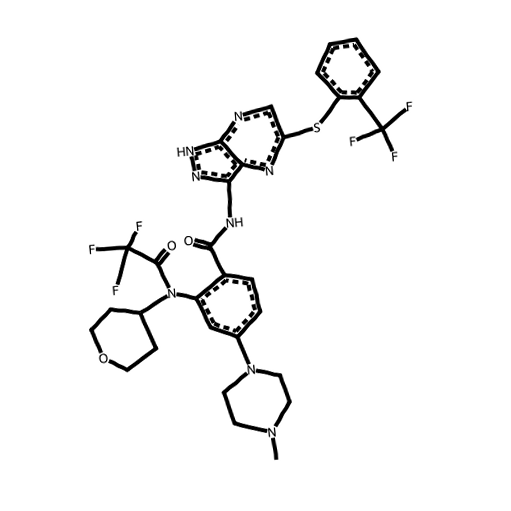 CN1CCN(c2ccc(C(=O)Nc3n[nH]c4ncc(Sc5ccccc5C(F)(F)F)nc34)c(N(C(=O)C(F)(F)F)C3CCOCC3)c2)CC1